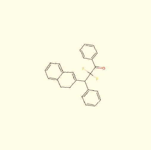 O=C(c1ccccc1)C(F)(F)C(C1=Cc2ccccc2CC1)c1ccccc1